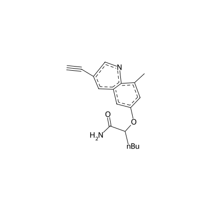 C#Cc1cnc2c(C)cc(OC(CCCC)C(N)=O)cc2c1